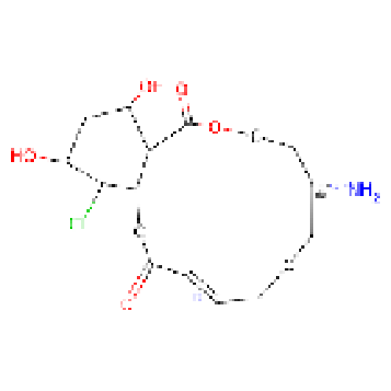 N[C@@H]1CCC/C=C/C(=O)CC2C(Cl)C(O)CC(O)C2C(=O)OCC1